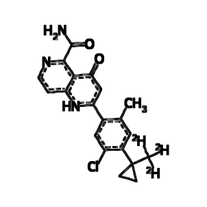 [2H]C([2H])([2H])C1(c2cc(C)c(-c3cc(=O)c4c(C(N)=O)nccc4[nH]3)cc2Cl)CC1